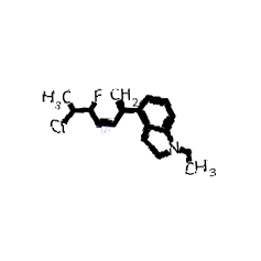 C=C(/C=C\C(F)C(C)Cl)c1cccc2c1CCN2CC